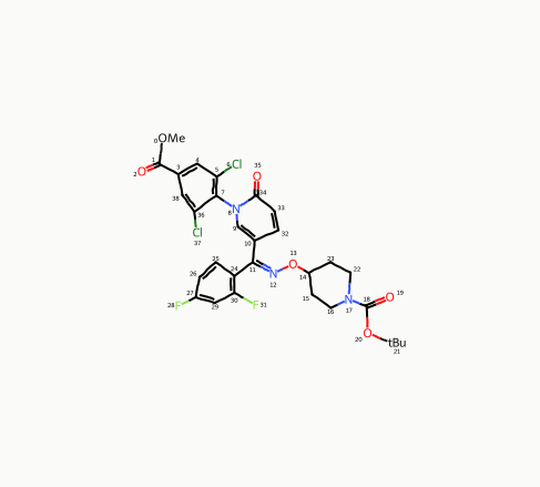 COC(=O)c1cc(Cl)c(-n2cc(/C(=N\OC3CCN(C(=O)OC(C)(C)C)CC3)c3ccc(F)cc3F)ccc2=O)c(Cl)c1